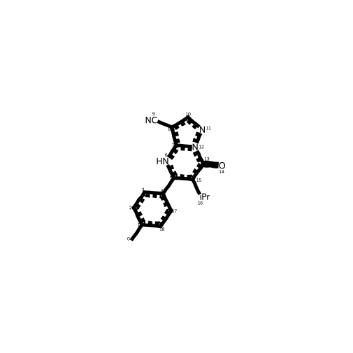 Cc1ccc(-c2[nH]c3c(C#N)cnn3c(=O)c2C(C)C)cc1